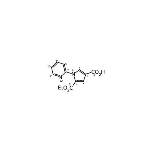 CCOC(=O)c1cc(C(=O)O)cn1-c1ccccn1